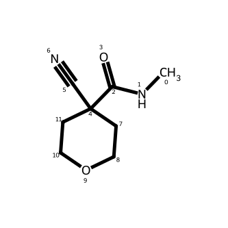 CNC(=O)C1(C#N)CCOCC1